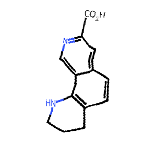 O=C(O)c1cc2ccc3c(c2cn1)NCCC3